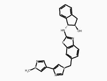 Cn1cc(-c2cn(Cc3ccc4nc(N[C@@H]5c6ccccc6C[C@H]5O)sc4c3)cn2)cn1